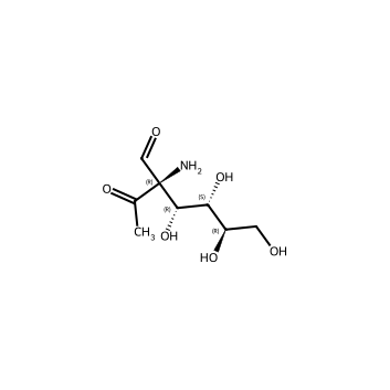 CC(=O)[C@](N)(C=O)[C@@H](O)[C@H](O)[C@H](O)CO